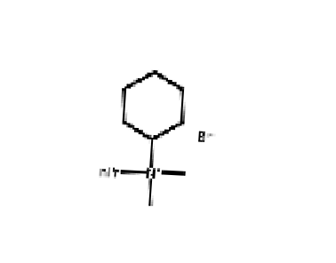 CCC[N+](C)(C)C1CCCCC1.[Br-]